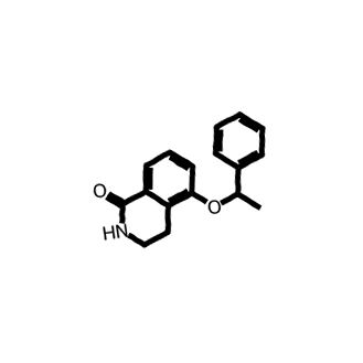 CC(Oc1cccc2c1CCNC2=O)c1ccccc1